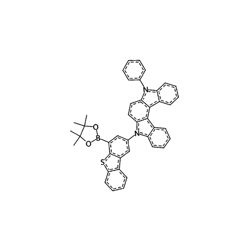 CC1(C)OB(c2cc(-n3c4ccccc4c4c5c6ccccc6n(-c6ccccc6)c5ccc43)cc3c2sc2ccccc23)OC1(C)C